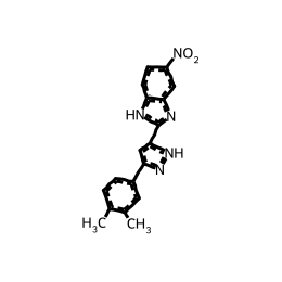 Cc1ccc(-c2cc(-c3nc4cc([N+](=O)[O-])ccc4[nH]3)[nH]n2)cc1C